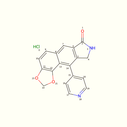 Cl.O=C1NCc2c1cc1ccc3c(c1c2-c1ccncc1)OCO3